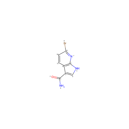 NC(=O)c1c[nH]c2nc(Br)ccc12